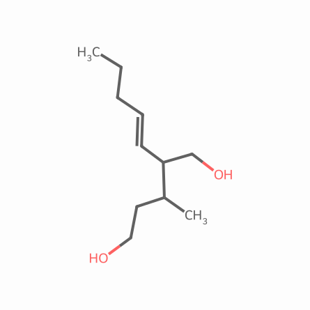 CCCC=CC(CO)C(C)CCO